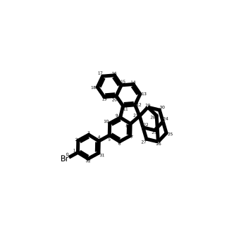 Brc1ccc(-c2ccc3c(c2)-c2c(ccc4ccccc24)C32C3CC4CC(C3)CC2C4)cc1